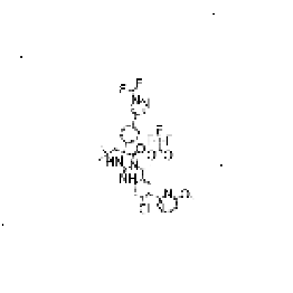 COc1ccnc(-c2cc([C@@H](COC(=O)C(F)(F)F)N3C(=N)N[C@](CC(C)(C)C)(c4ccc(-c5cnn(C(F)F)c5)cc4)C3=O)ccc2Cl)n1